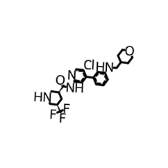 O=C(Nc1cc(-c2cccc(NCC3CCOCC3)c2)c(Cl)cn1)[C@@H]1CNC[C@H](C(F)(F)F)C1